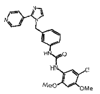 COc1cc(OC)c(NC(=O)Nc2cccc(Cn3ccnc3-c3ccncc3)c2)cc1Cl